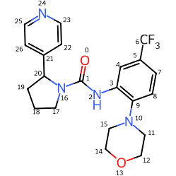 O=C(Nc1cc(C(F)(F)F)ccc1N1CCOCC1)N1CCCC1c1ccncc1